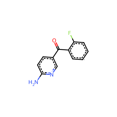 Nc1ccc(C(=O)c2c[c]ccc2F)cn1